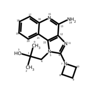 CC(C)(O)Cn1c(N2CCC2)nc2c(N)nc3ccccc3c21